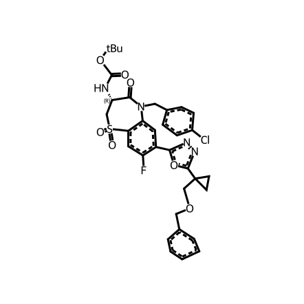 CC(C)(C)OC(=O)N[C@H]1CS(=O)(=O)c2cc(F)c(-c3nnc(C4(COCc5ccccc5)CC4)o3)cc2N(Cc2ccc(Cl)cc2)C1=O